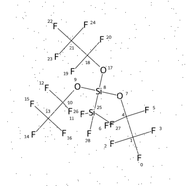 FC(F)(F)C(F)(F)O[Si](OC(F)(F)C(F)(F)F)(OC(F)(F)C(F)(F)F)[Si](F)(F)F